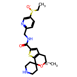 CC[S+]([O-])c1ccc(CNC(=O)c2cc3c(s2)C2(CCNCC2)O[C@@H](C)C3)nc1